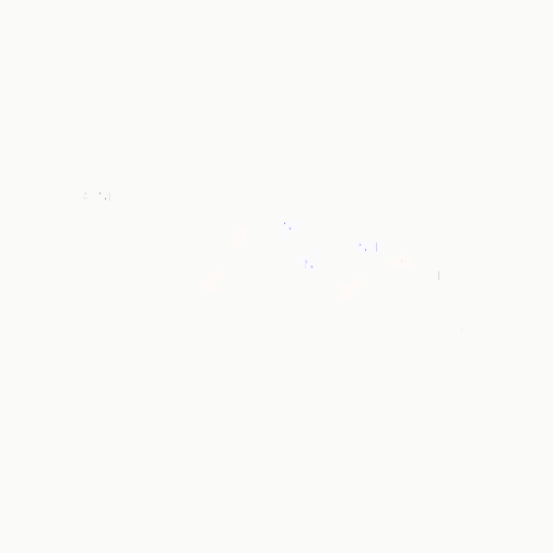 CC(=O)Nc1ccc(S(=O)(=O)Cc2nsc(NS(=O)(=O)c3cccc(Cl)c3C)n2)cc1